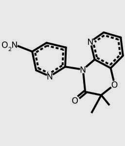 CC1(C)Oc2cccnc2N(c2ccc([N+](=O)[O-])cn2)C1=O